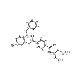 CCN(Cc1cc(Br)ccc1OCc1ccccc1)c1ccc(C(=O)NC(CO)CC(=O)O)cn1